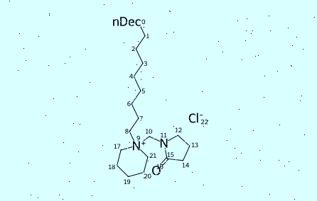 CCCCCCCCCCCCCCCCCC[N+]1(CN2CCCC2=O)CCCCC1.[Cl-]